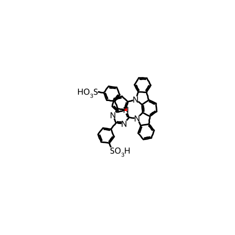 O=S(=O)(O)c1cccc(-c2nc(-c3cccc(S(=O)(=O)O)c3)nc(-n3c4ccccc4c4ccc5c6ccccc6n(-c6ccccc6)c5c43)n2)c1